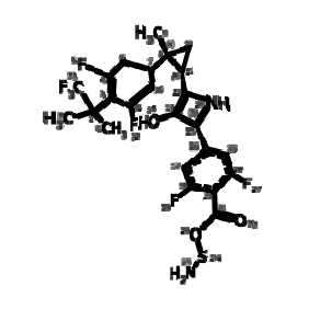 CC(C)(C1=C(F)CC([C@]2(C)C[C@H]2C2=C(O)[C@H](c3cc(F)c(C(=O)OSN)c(F)c3)N2)C=C1F)C(F)(F)F